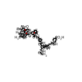 CC[C@H](C)[C@@H]([C@@H](CC(=O)N1CCC[C@H]1[C@H](OC)[C@@H](C)C(=O)N[C@@H](Cc1ccccc1)C[C@H](C)C(=O)NOCc1ccc(NC(=O)[C@@H](CCCNC(N)=O)NC(=O)[C@H](NC(=O)CCCC(O)N2CCC(C(=O)O)CC2)C(C)C)cc1)OC)N(C)C(=O)[C@@H](NC(=O)[C@H](C(C)C)N(C)C)C(C)C